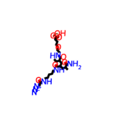 CCC(CC(CC(C)C(N)=O)C(=O)NCCCCCNC(=O)CN=[N+]=[N-])C(=O)NCCOCCCS(=O)(=O)O